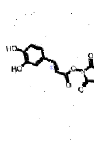 O=C(/C=C/c1ccc(O)c(O)c1)ON1C(=O)CCC1=O